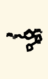 O=C(O)/C=C/c1ccc([N+](=O)[O-])c(-n2ccnc2C2CCCCC2)c1